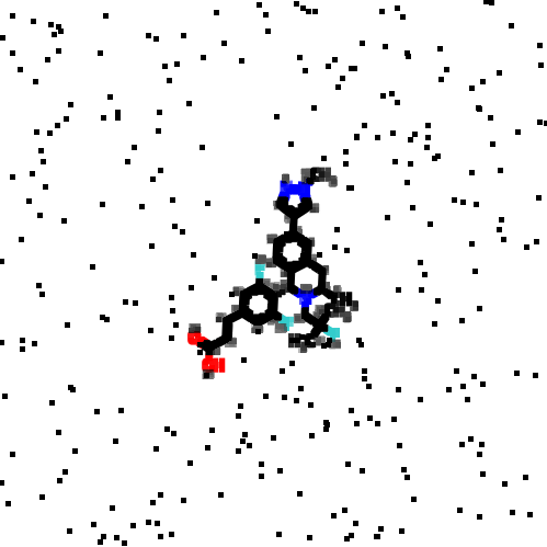 C[C@@H]1Cc2cc(-c3cnn(C)c3)ccc2[C@@H](c2c(F)cc(/C=C/C(=O)O)cc2F)N1CC(C)(C)F